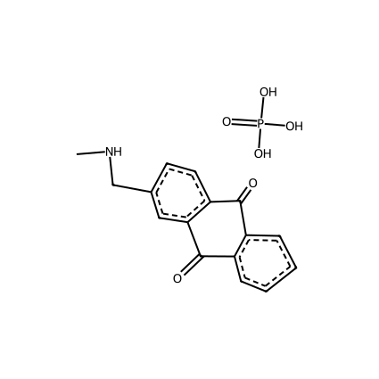 CNCc1ccc2c(c1)C(=O)c1ccccc1C2=O.O=P(O)(O)O